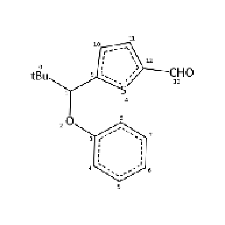 CC(C)(C)C(Oc1ccccc1)c1ccc(C=O)s1